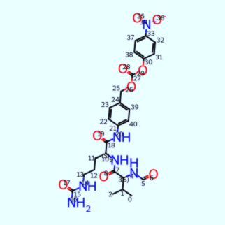 CC(C)[C@H](NC=O)C(=O)N[C@@H](CCCNC(N)=O)C(=O)Nc1ccc(COC(=O)Oc2ccc([N+](=O)[O-])cc2)cc1